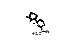 Cc1cccc([C@]2(C)C=CSC(N(C(=O)O)C(C)(C)C)=N2)c1F